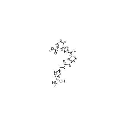 CNC(O)c1cn(CCC(F)Cn2cc(C(=O)NCc3cccc(C(=O)OC)c3)nn2)nn1